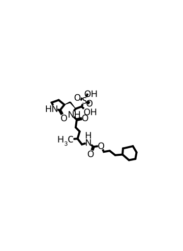 CC(CCC(=O)N[C@@H](C[C@@H]1CCNC1=O)C(O)S(=O)(=O)O)CNC(=O)OCCCC1CCCCC1